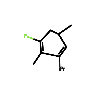 CC1=C(F)CC(C)C=C1C(C)C